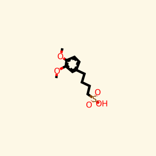 COc1ccc(CCCCS(=O)(=O)O)cc1OC